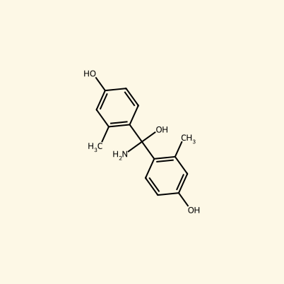 Cc1cc(O)ccc1C(N)(O)c1ccc(O)cc1C